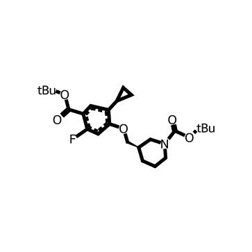 CC(C)(C)OC(=O)c1cc(C2CC2)c(OC[C@@H]2CCCN(C(=O)OC(C)(C)C)C2)cc1F